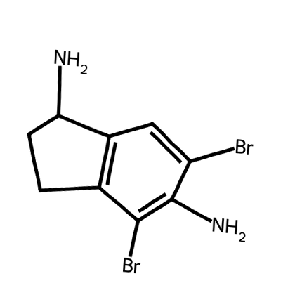 Nc1c(Br)cc2c(c1Br)CCC2N